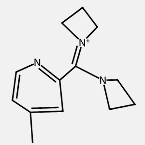 Cc1ccnc(C(N2CCC2)=[N+]2CCC2)c1